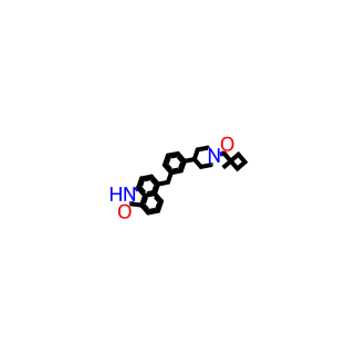 CC1(C(=O)N2CCC(c3cccc(Cc4ccc5c6c(cccc46)C(=O)N5)c3)CC2)CCC1